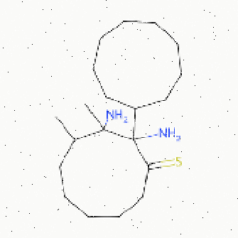 CC1CCCCCC(=S)C(N)(C2CCCCCCCC2)C1(C)N